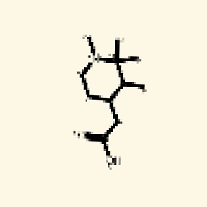 CC1C(CC(=O)O)CCN(C)C1(C)C